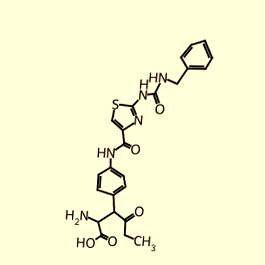 CCC(=O)C(c1ccc(NC(=O)c2csc(NC(=O)NCc3ccccc3)n2)cc1)C(N)C(=O)O